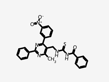 Cc1nc(-c2ccccc2)nc(-c2cccc([N+](=O)[O-])c2)c1CNC(=S)NC(=O)c1ccccc1